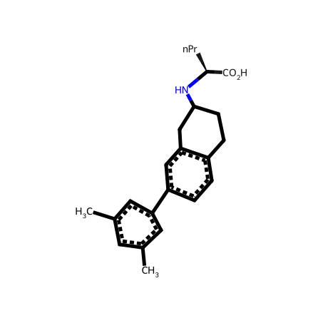 CCC[C@H](NC1CCc2ccc(-c3cc(C)cc(C)c3)cc2C1)C(=O)O